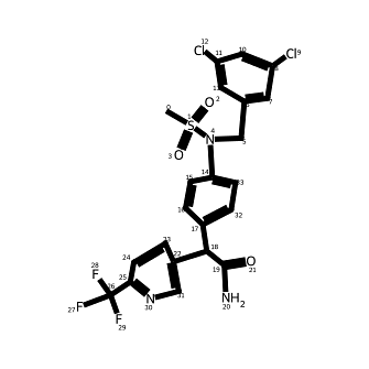 CS(=O)(=O)N(Cc1cc(Cl)cc(Cl)c1)c1ccc(C(C(N)=O)c2ccc(C(F)(F)F)nc2)cc1